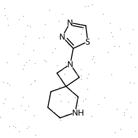 c1nnc(N2CC3(CCCNC3)C2)s1